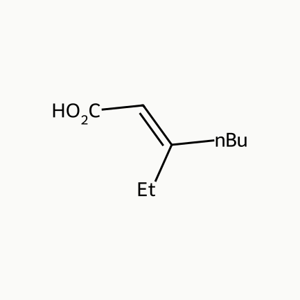 CCCC/C(=C/C(=O)O)CC